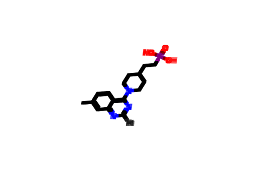 CCc1nc(N2CCC(CCP(=O)(O)O)CC2)c2ccc(C)cc2n1